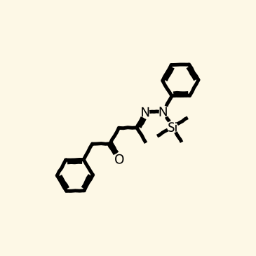 C/C(CC(=O)Cc1ccccc1)=N\N(c1ccccc1)[Si](C)(C)C